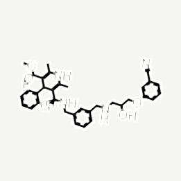 COC(=O)C1=C(C)NC(C)=C(C(=O)NCc2cccc(CNCC(O)COc3cccc(C#N)c3)c2)C1c1c(F)cccc1Cl